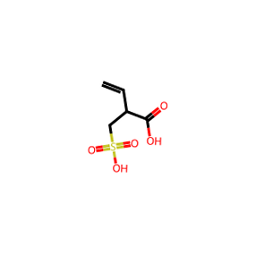 C=CC(CS(=O)(=O)O)C(=O)O